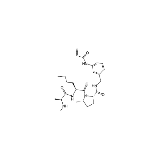 C=CC(=O)Nc1cccc(CNC(=O)[C@@H]2CC[C@H](C)N2C(=O)[C@H](CCCC)NC(=O)[C@H](C)NC)c1